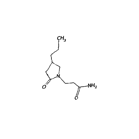 CCCC1CC(=O)N(CCC(N)=O)C1